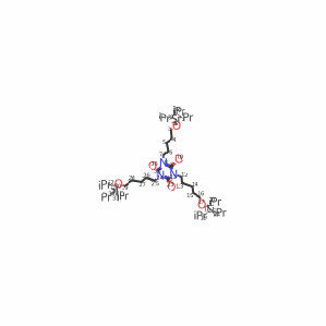 CC(C)[Si](OCCCCCn1c(=O)n(CCCCCO[Si](C(C)C)(C(C)C)C(C)C)c(=O)n(CCCCCO[Si](C(C)C)(C(C)C)C(C)C)c1=O)(C(C)C)C(C)C